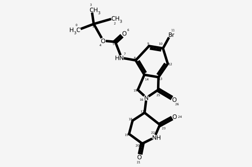 CC(C)(C)OC(=O)Nc1cc(Br)cc2c1CN(C1CCC(=O)NC1=O)C2=O